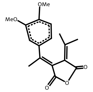 COc1ccc(/C(C)=C2/C(=O)OC(=O)C2=C(C)C)cc1OC